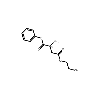 N[C@@H](CC(=O)OCCO)C(=O)Oc1ccccc1